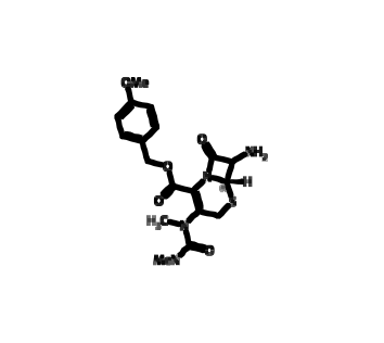 CNC(=O)N(C)C1=C(C(=O)OCc2ccc(OC)cc2)N2C(=O)C(N)[C@@H]2SC1